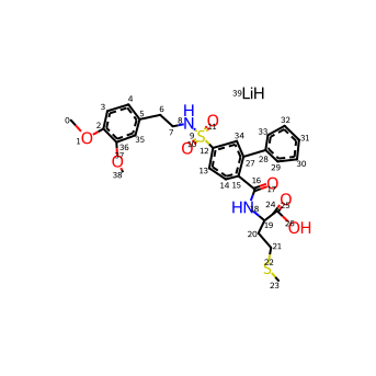 COc1ccc(CCNS(=O)(=O)c2ccc(C(=O)NC(CCSC)C(=O)O)c(-c3ccccc3)c2)cc1OC.[LiH]